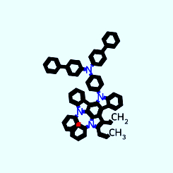 C=Cc1c(/C=C\C)n(-c2ccccc2)c2c1c1c3ccccc3n(-c3ccc(N(c4ccc(-c5ccccc5)cc4)c4ccc(-c5ccccc5)cc4)cc3)c1c1c3ccccc3n(-c3ccccc3)c12